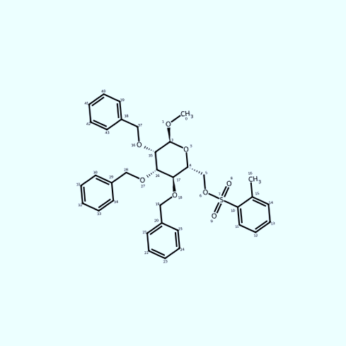 CO[C@H]1O[C@H](COS(=O)(=O)c2ccccc2C)[C@@H](OCc2ccccc2)[C@H](OCc2ccccc2)[C@@H]1OCc1ccccc1